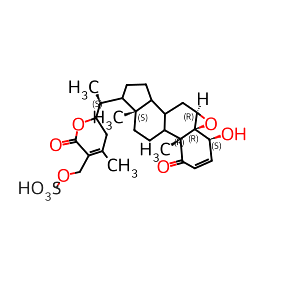 CC1=C(COS(=O)(=O)O)C(=O)OC([C@@H](C)C2CCC3C4C[C@H]5O[C@]56[C@@H](O)C=CC(=O)[C@]6(C)C4CC[C@@]32C)C1